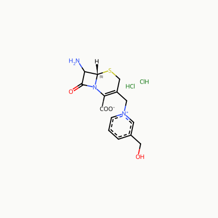 Cl.Cl.NC1C(=O)N2C(C(=O)[O-])=C(C[n+]3cccc(CO)c3)CS[C@@H]12